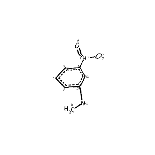 C[N]c1cccc([N+](=O)[O-])c1